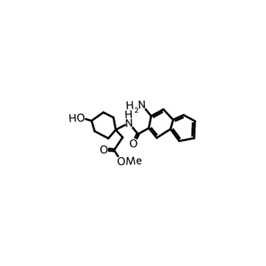 COC(=O)CC1(NC(=O)c2cc3ccccc3cc2N)CCC(O)CC1